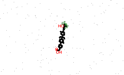 CCC(CC)(c1ccc(C#CC(O)(C(F)(F)F)C(F)(F)F)c(C)c1)c1ccc(-c2ccc(CC(=O)O)cc2)c(C)c1